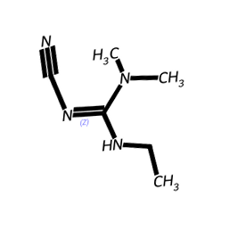 CCN/C(=N/C#N)N(C)C